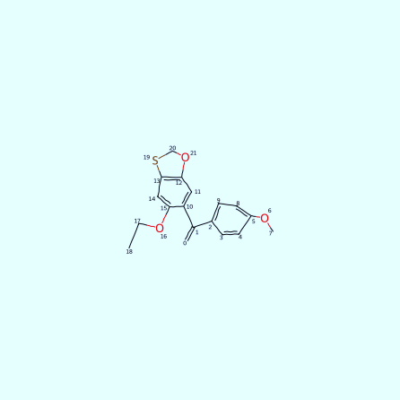 C=C(c1ccc(OC)cc1)c1cc2c(cc1OCC)SCO2